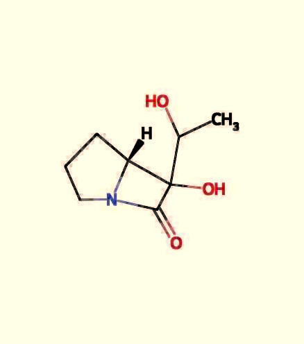 CC(O)C1(O)C(=O)N2CCC[C@@H]21